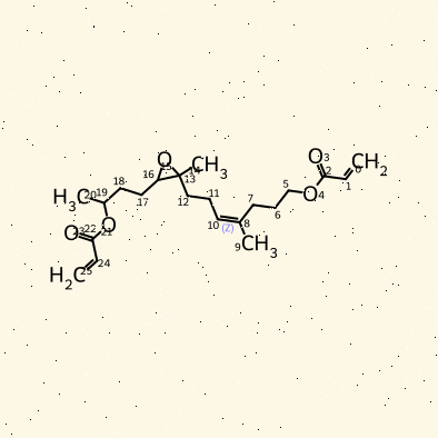 C=CC(=O)OCCC/C(C)=C\CCC1(C)OC1CCC(C)OC(=O)C=C